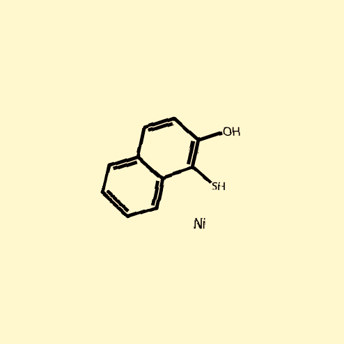 Oc1ccc2ccccc2c1S.[Ni]